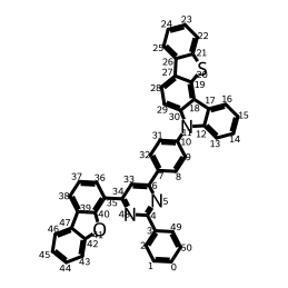 c1ccc(-c2nc(-c3ccc(-n4c5ccccc5c5c6sc7ccccc7c6ccc54)cc3)cc(-c3cccc4c3oc3ccccc34)n2)cc1